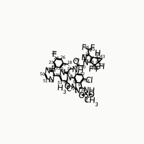 Cn1nc(NS(C)(=O)=O)c2c(Cl)ccc(-n3c([C@H](Cc4cc(F)cc(F)c4)NC(=O)Cn4nc(C(F)F)c5c4C(F)(F)[C@@H]4C[C@H]54)nc(-c4cnccn4)cc3=O)c21